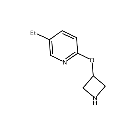 CCc1ccc(OC2CNC2)nc1